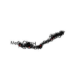 COc1ccc([C@@H](C)NC(=O)[C@@H](CCOCCOCCOCCn2cc(COCCOCCOCCOCCOc3ccc(NC(=O)Nc4nc(CC(=O)N5CCN(C)CC5)cs4)cc3)nn2)Sc2nc(=O)[nH]cc2Cl)c(F)c1